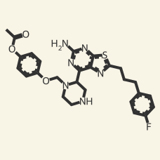 CC(=O)Oc1ccc(OCN2CCNCC2c2nc(N)nc3sc(CCCc4ccc(F)cc4)nc23)cc1